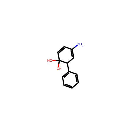 NC1=CC(c2ccccc2)C(O)(O)C=C1